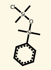 C[Si](C)(Cl)O[Si](C)(C)c1ccccc1